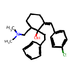 CN(C)CC1CCCC(=Cc2ccc(Cl)cc2)C1(O)CCc1ccccc1